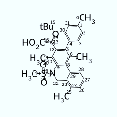 Cc1ccc(-c2c(C)c3c(c(C)c2[C@H](OC(C)(C)C)C(=O)O)N(S(C)(=O)=O)Cc2c(C)cccc2-3)cc1